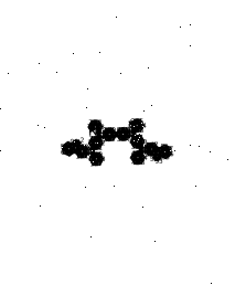 CC1(C)c2ccccc2-c2ccc(N(c3ccccc3)c3ccc(N(c4ccc(-c5ccc(N(c6ccc(N(c7ccccc7)c7ccc8c(c7)C(C)(C)c7ccccc7-8)cc6)c6ccccn6)cc5)cc4)c4ccccn4)cc3)cc21